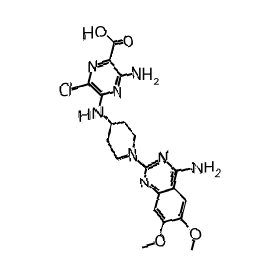 COc1cc2nc(N3CCC(Nc4nc(N)c(C(=O)O)nc4Cl)CC3)nc(N)c2cc1OC